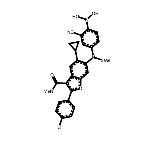 CNC(=O)c1c(-c2ccc(Cl)cc2)oc2cc(N(SC)c3ccc(B(O)O)c(C#N)c3)c(C3CC3)cc12